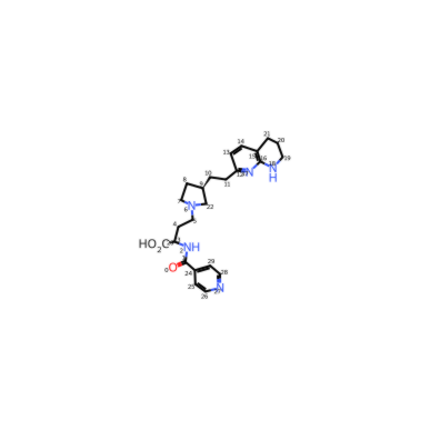 O=C(NC(CCN1CC[C@@H](CCc2ccc3c(n2)NCCC3)C1)C(=O)O)c1ccncc1